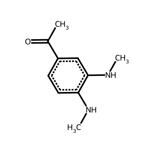 CNc1ccc(C(C)=O)cc1NC